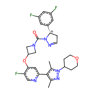 Cc1nn(C2CCOCC2)c(C)c1-c1cc(OC2CN(C(=O)N3N=CC[C@H]3c3cc(F)cc(F)c3)C2)c(F)cn1